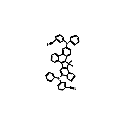 CC1(C)c2c(cc(N(c3ccccc3)c3cccc(C#N)c3)c3ccccc23)-c2c1c1ccc(N(c3ccccc3)c3cccc(C#N)c3)cc1c1ccccc21